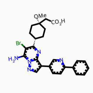 CO[C@]1(CC(=O)O)CC[C@H](c2nc3c(-c4ccc(-c5ccccc5)nc4)cnn3c(N)c2Br)CC1